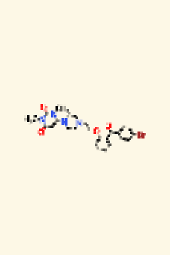 Cn1c(N2CCN(CCOc3ccccc3C(=O)c3ccc(Br)cc3)CC2)cc(=O)n(C)c1=O